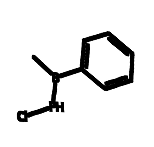 CB(PCl)c1ccccc1